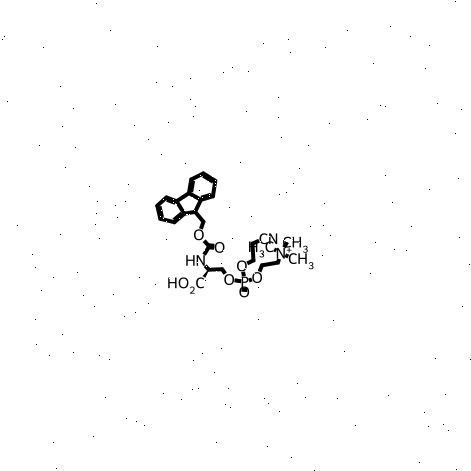 C[N+](C)(C)CCOP(=O)(OCCC#N)OC[C@H](NC(=O)OCC1c2ccccc2-c2ccccc21)C(=O)O